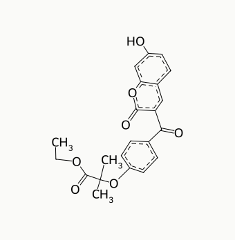 CCOC(=O)C(C)(C)Oc1ccc(C(=O)c2cc3ccc(O)cc3oc2=O)cc1